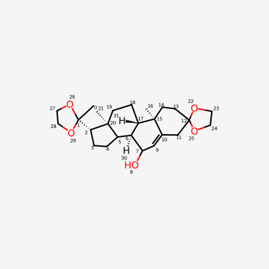 CC1([C@H]2CCC3[C@@H]4C(O)C=C5CC6(CC[C@]5(C)[C@H]4CC[C@@]32C)OCCO6)OCCO1